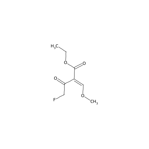 CCOC(=O)C(=COC)C(=O)CF